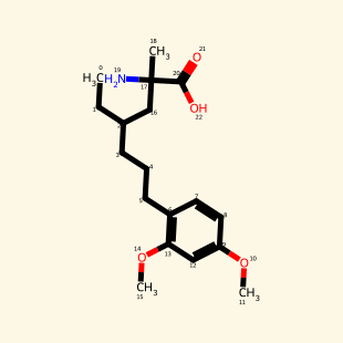 CCC(CCCc1ccc(OC)cc1OC)CC(C)(N)C(=O)O